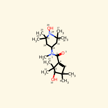 CN(C(=O)C1=CC(C)(C)C(O)C1(C)C)C1CC(C)(C)N(O)C(C)(C)C1